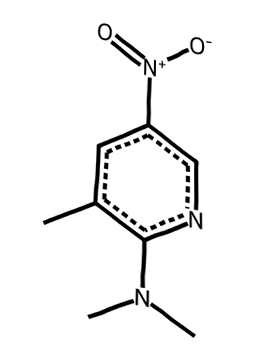 Cc1cc([N+](=O)[O-])cnc1N(C)C